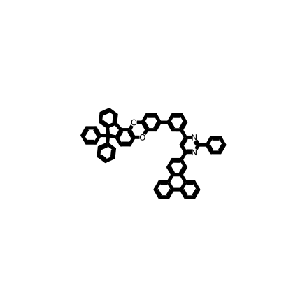 c1ccc(-c2nc(-c3cccc(-c4ccc5c(c4)Oc4ccc6c(c4O5)-c4ccccc4C6(c4ccccc4)c4ccccc4)c3)cc(-c3ccc4c5ccccc5c5ccccc5c4c3)n2)cc1